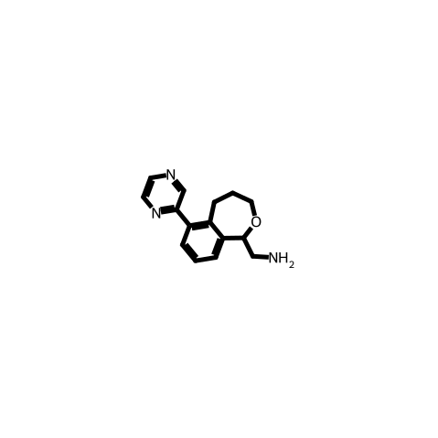 NCC1OCCCc2c(-c3cnccn3)cccc21